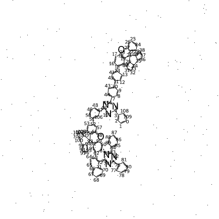 c1ccc(-c2nc(-c3ccc(-c4ccc(-c5ccc6c(c5)C5(c7ccccc7O6)c6ccccc6-c6ccccc65)cc4)cc3)nc(-c3cccc(-c4ccc5c(c4)Oc4ccc(-c6ccc7ccccc7c6-c6nc(-c7ccccc7)nc(-c7ccccc7)n6)cc4C54c5ccccc5-c5ccccc54)c3)n2)cc1